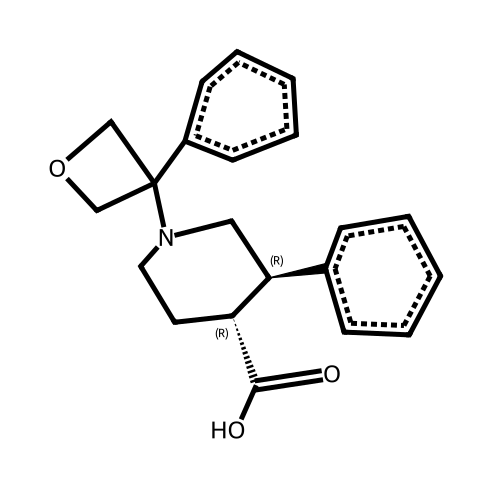 O=C(O)[C@@H]1CCN(C2(c3ccccc3)COC2)C[C@H]1c1ccccc1